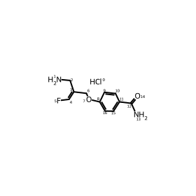 Cl.NCC(=CF)COc1ccc(C(N)=O)cc1